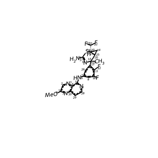 COc1cnc2c(Nc3cc(F)c(F)c([C@]4(C)N=C(N)S[C@@]5(C(F)F)C[C@@H]45)c3)nccc2n1